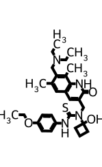 CCOc1ccc(NC(=S)N(Cc2cc3cc(C)c(CN(CC)CC)c(C)c3[nH]c2=O)C2(O)CCC2)cc1